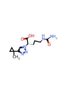 CC1(c2cn([C@@H](CCCNC(N)=O)C(=O)O)nn2)CC1